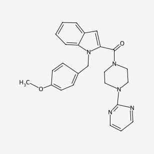 COc1ccc(Cn2c(C(=O)N3CCN(c4ncccn4)CC3)cc3ccccc32)cc1